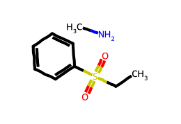 CCS(=O)(=O)c1ccccc1.CN